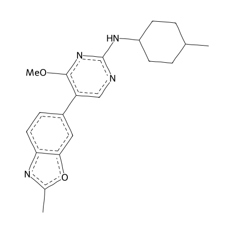 COc1nc(NC2CCC(C)CC2)ncc1-c1ccc2nc(C)oc2c1